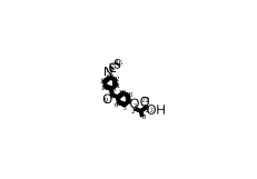 CC(COc1ccc(C(=O)c2ccc(N=C=S)cc2)cc1)C(=O)O